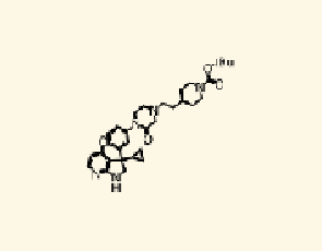 CC(C)(C)OC(=O)N1CCC(CCN2CCN(c3cccc(C4(C5CC5)CNc5nccc(Cl)c54)c3)C(=O)C2)CC1